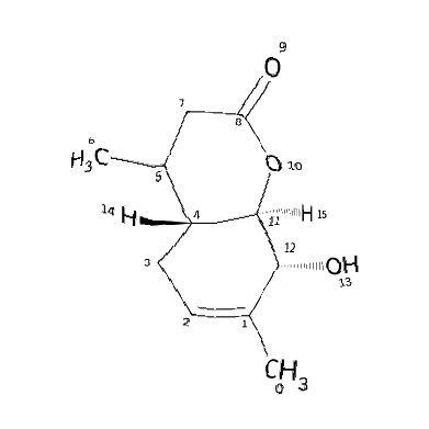 CC1=CC[C@@H]2C(C)CC(=O)O[C@H]2[C@@H]1O